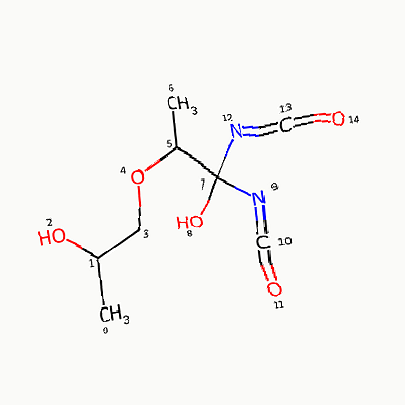 CC(O)COC(C)C(O)(N=C=O)N=C=O